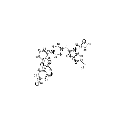 CCc1cc2c(nc(CN3CCN(c4cccc5c4O[C@](C)(c4ccc(Cl)cc4F)O5)CC3)n2C[C@@H]2CCO2)s1